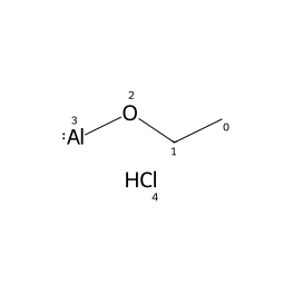 CC[O][Al].Cl